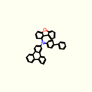 c1ccc(-c2ccc(N(c3ccc4c5ccccc5c5ccccc5c4c3)c3cccc4oc5ccccc5c34)cc2)cc1